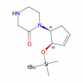 CC(C)(C)[Si](C)(C)O[C@@H]1C=CC[C@@H]1N1CCNCC1=O